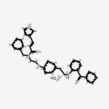 O=C(c1ccccc1)c1ccccc1N[C@@H](Cc1ccc(OCCN(Cc2ccccc2)C(=O)C=Cc2ccoc2)cc1)C(=O)O